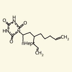 C=CCCCC(CC=C)CC(CCCCCCC)n1c(=O)[nH]c(=O)[nH]c1=O